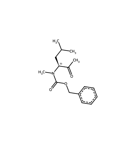 CC(=O)[C@H](CC(C)C)N(C)C(=O)OCc1ccccc1